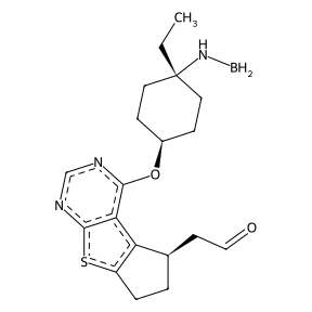 BN[C@]1(CC)CC[C@@H](Oc2ncnc3sc4c(c23)[C@@H](CC=O)CC4)CC1